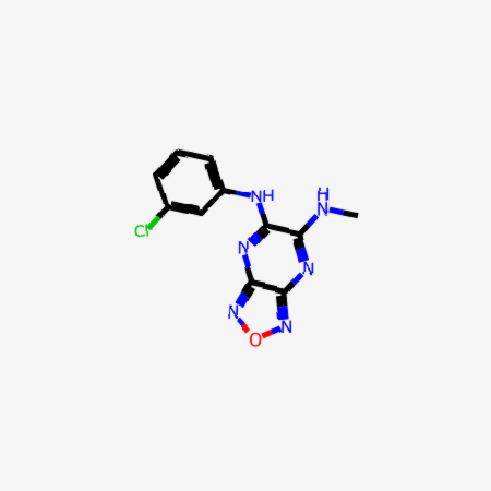 CNc1nc2nonc2nc1Nc1cccc(Cl)c1